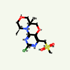 C[C@@H]1COC[C@@H]2COc3c(CS(C)(=O)=O)nc(Cl)nc3N21